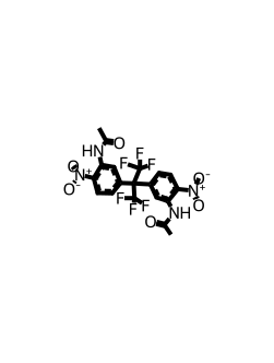 CC(=O)Nc1cc(C(c2ccc([N+](=O)[O-])c(NC(C)=O)c2)(C(F)(F)F)C(F)(F)F)ccc1[N+](=O)[O-]